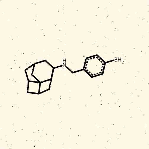 Bc1ccc(CNC23CC4CC5CC(C2)C5(C4)C3)cc1